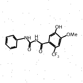 COc1cc(C(F)(F)F)c(C(=O)NC(=O)Nc2ccccc2)cc1O